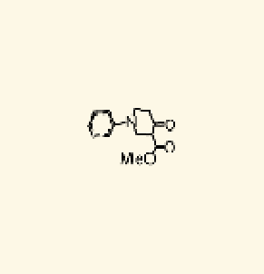 COC(=O)C1CN(c2ccccc2)CCC1=O